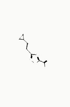 NC(=O)c1nc(C[CH]C2CC2)no1